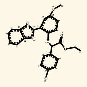 CCOC(=O)C(Oc1ccc(OC)cc1-c1nc2ccccc2o1)c1ccc(Cl)cc1